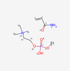 C=CC(N)=O.CCOP(=O)(O)OCC[N+](C)(C)C